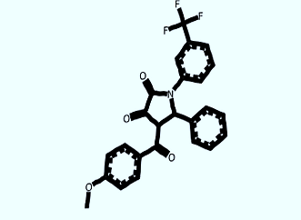 COc1ccc(C(=O)C2C(=O)C(=O)N(c3cccc(C(F)(F)F)c3)C2c2ccccc2)cc1